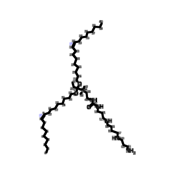 CCCCCCCC/C=C\CCCCCCCCOC(CC)(OCCCCCCCC/C=C\CCCCCCCC)[N+](C)(C)CCNC(=O)NCCCNCCCCNCCCN